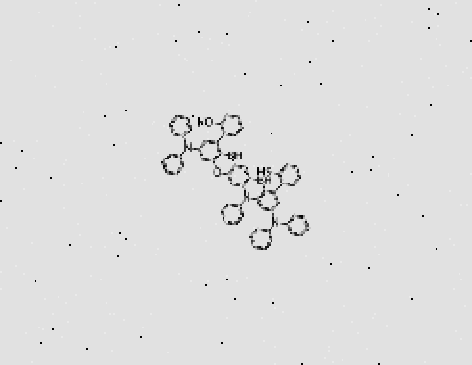 Oc1ccccc1-c1cc(N(c2ccccc2)c2ccccc2)cc2c1Bc1cc3c(cc1O2)N(c1ccccc1)c1cc(N(c2ccccc2)c2ccccc2)cc(-c2ccccc2S)c1B3